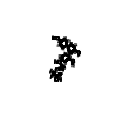 CC(O)S.COc1ccccc1.COc1ccccc1.O=C(O)C(F)(F)F.Oc1ccccc1